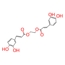 O=C(C=Cc1ccc(O)c(O)c1)OCCOC(=O)C=Cc1ccc(O)c(O)c1